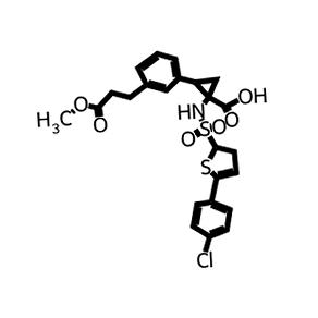 COC(=O)CCc1cccc(C2CC2(NS(=O)(=O)C2CC=C(c3ccc(Cl)cc3)S2)C(=O)O)c1